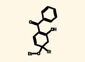 CCOC1(CC)C=CC(C(=O)c2ccccc2)=C(O)C1